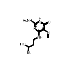 C=Nc1c(NCCC(O)CC)nc(NC(C)=O)[nH]c1=O